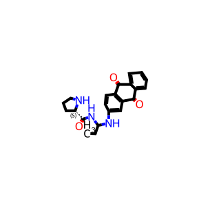 CCC(NC(=O)[C@@H]1CCCN1)Nc1ccc2c(c1)C(=O)c1ccccc1C2=O